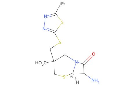 CC(C)c1nnc(SCC2(C(=O)O)CS[C@@H]3C(N)C(=O)N3C2)s1